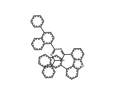 c1ccc(-c2ccc(C3=NC(c4ccccc4)NC(c4cccc5oc6cccc(-c7ccc8ccccc8c7)c6c45)=N3)c3ccccc23)cc1